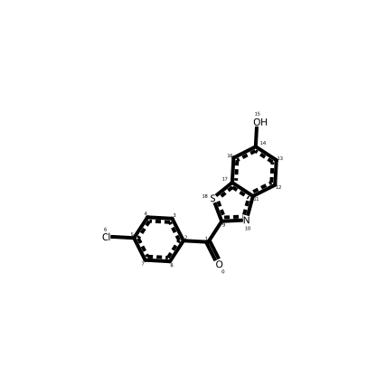 O=C(c1ccc(Cl)cc1)c1nc2ccc(O)cc2s1